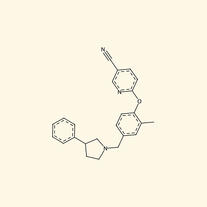 Cc1cc(CN2CCC(c3ccccc3)C2)ccc1Oc1ccc(C#N)cn1